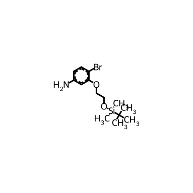 CC(C)(C)[Si](C)(C)OCCOc1cc(N)ccc1Br